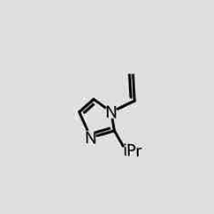 C=Cn1ccnc1C(C)C